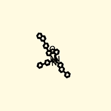 c1ccc(-c2ccc(-c3nc(-c4ccc5cc(-c6ccccc6)ccc5c4)nc(-c4cccc5oc6c(-c7ccc(-c8ccc9ccccc9c8)cc7)cccc6c45)n3)cc2)cc1